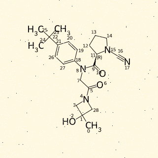 CC1(O)CN(C(=O)CN(C(=O)[C@H]2CCCN2C#N)c2ccc(C(C)(C)C)cc2)C1